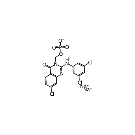 O=c1c2ccc(Cl)cc2nc(Nc2cc(Cl)cc(Cl)c2)n1COP(=O)([O-])[O-].[Na+].[Na+]